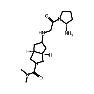 CN(C)C(=O)N1C[C@H]2CC(NCC(=O)N3CCC[C@H]3N)C[C@H]2C1